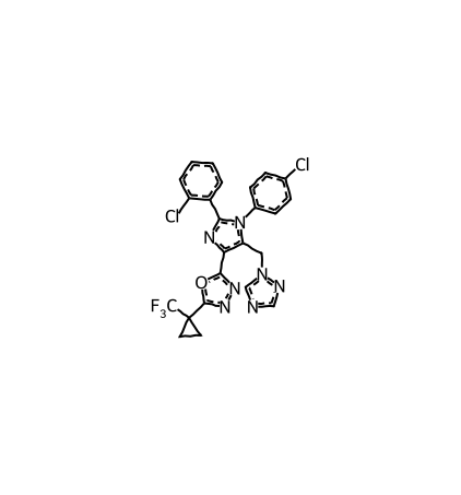 FC(F)(F)C1(c2nnc(-c3nc(-c4ccccc4Cl)n(-c4ccc(Cl)cc4)c3Cn3cncn3)o2)CC1